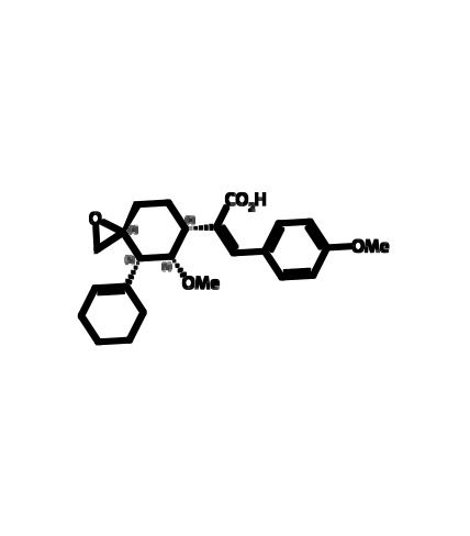 COc1ccc(C=C(C(=O)O)[C@H]2CC[C@]3(CO3)[C@@H](C3=CCCCC3)[C@H]2OC)cc1